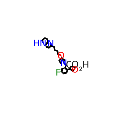 O=C(O)C(c1cc(F)ccc1C1CCOC1)N1CC[C@@H](OCCCCc2ccc3c(n2)CCCN3)C1